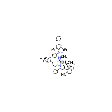 C=C(/C=C\C)CCC1c2ccccc2-c2cc(-c3ccccc3C#N)c([Si](C)(C)C)c[n+]2C1CC(=C)N(C)c1ccccc1Nc1c(C(C)C)cc(-c2ccccc2)cc1C(C)C